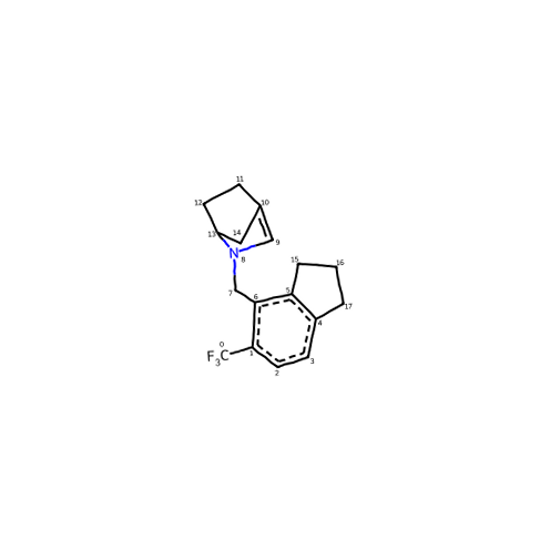 FC(F)(F)c1ccc2c(c1CN1C=C3CCC1C3)CCC2